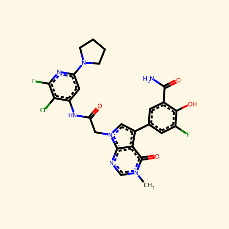 Cn1cnc2c(c(-c3cc(F)c(O)c(C(N)=O)c3)cn2CC(=O)Nc2cc(N3CCCC3)nc(F)c2Cl)c1=O